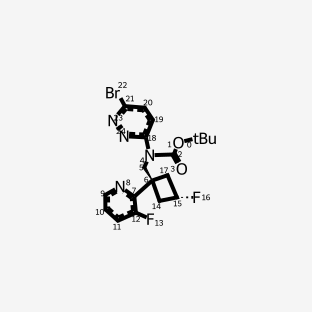 CC(C)(C)OC(=O)N(C[C@]1(c2ncccc2F)C[C@@H](F)C1)c1ccc(Br)nn1